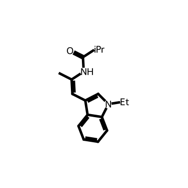 CCn1cc(/C=C(/C)NC(=O)C(C)C)c2ccccc21